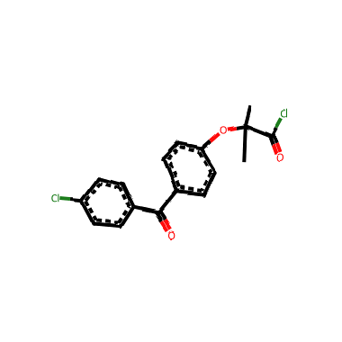 CC(C)(Oc1ccc(C(=O)c2ccc(Cl)cc2)cc1)C(=O)Cl